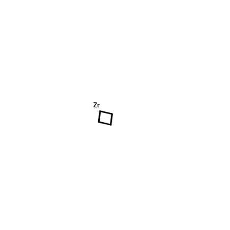 [CH]1CCC1.[Zr]